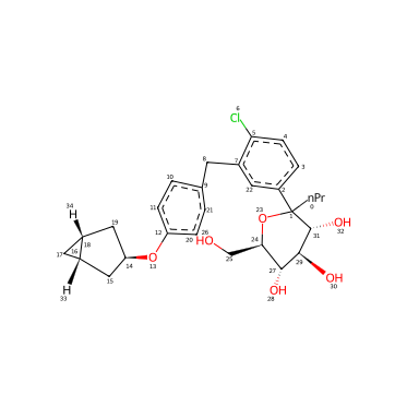 CCCC1(c2ccc(Cl)c(Cc3ccc(O[C@H]4C[C@@H]5C[C@@H]5C4)cc3)c2)O[C@H](CO)[C@@H](O)[C@H](O)[C@H]1O